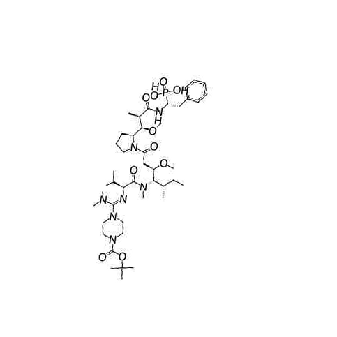 CC[C@H](C)[C@@H]([C@@H](CC(=O)N1CCC[C@H]1[C@H](OC)[C@@H](C)C(=O)N[C@@H](Cc1ccccc1)P(=O)(O)O)OC)N(C)C(=O)[C@@H](N=C(N(C)C)N1CCN(C(=O)OC(C)(C)C)CC1)C(C)C